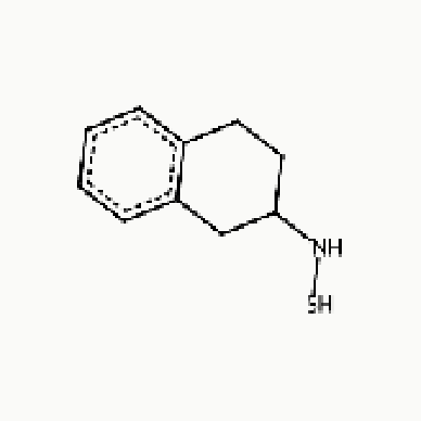 SNC1CCc2ccccc2C1